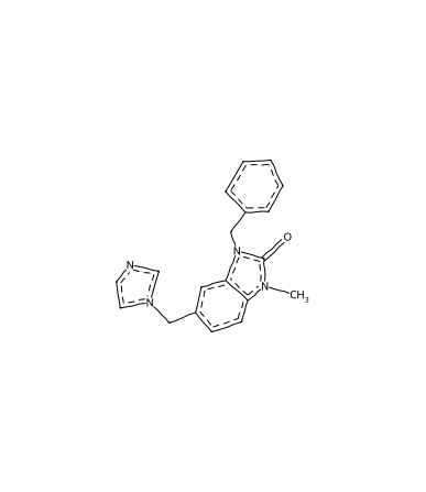 Cn1c(=O)n(Cc2ccccc2)c2cc(Cn3ccnc3)ccc21